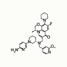 COc1cc(CN(Cc2cn3c4c(c(N5CCCCC5)c(F)cc4c2=O)OC[C@@H]3C)[C@H]2CCCN(c3ccc(N)nc3)C2)ccn1